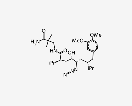 COc1ccc(C[C@@H](C[C@H](N=[N+]=[N-])[C@@H](O)C[C@H](C(=O)NCC(C)(C)C(N)=O)C(C)C)C(C)C)cc1OC